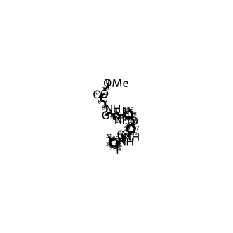 COCCOC(=O)CCCNC(=O)c1c[nH]c(-c2cc(Oc3ccc(NC(=O)Nc4cc(C)ccc4F)cc3)ccn2)c1